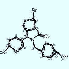 O=C1c2cc(Br)ccc2C(c2ccc(Cl)cc2)N1Cc1ccc([N+](=O)[O-])cc1